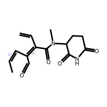 C=C/C(C(=O)N(C)C1CCC(=O)NC1=O)=C(C=O)\C=C/C